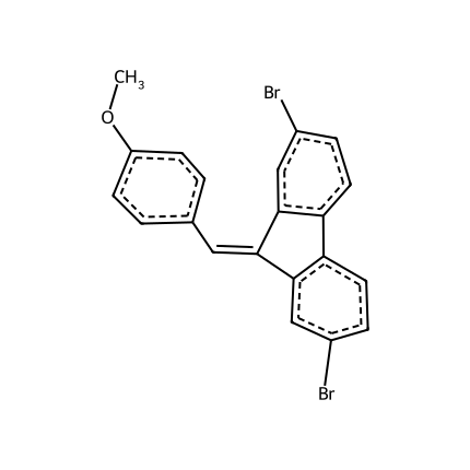 COc1ccc(C=C2c3cc(Br)ccc3-c3ccc(Br)cc32)cc1